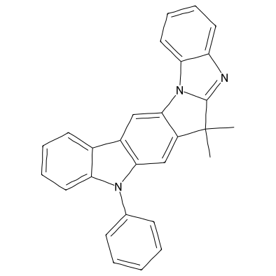 CC1(C)c2cc3c(cc2-n2c1nc1ccccc12)c1ccccc1n3-c1ccccc1